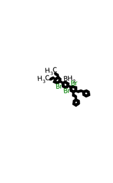 Bc1cc(-c2cc(/C=C/c3ccccc3)c(/C=C/c3ccccc3)cc2Br)c(Br)cc1-c1cc(/C=C/C)c(/C=C/C)cc1Br